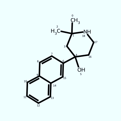 CC1(C)CC(O)(c2ccc3ccccc3c2)CCN1